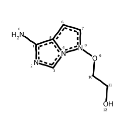 Nc1ncn2c1ccn2OCCO